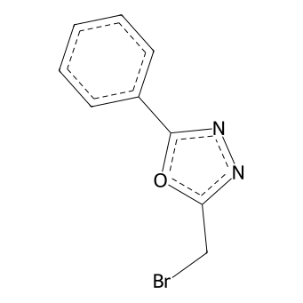 BrCc1nnc(-c2ccccc2)o1